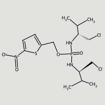 CC(C)[C@H](CCl)NP(=O)(N[C@@H](CCl)C(C)C)OCc1ccc([N+](=O)[O-])s1